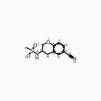 CS(=O)(=O)NC1COc2ccc(C#N)cc2C1